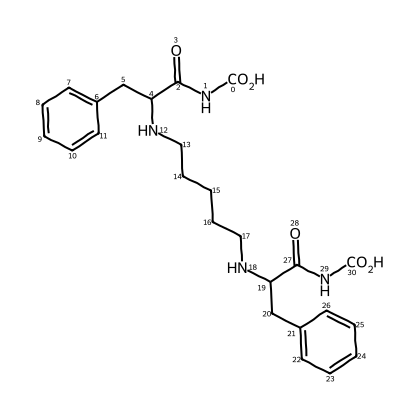 O=C(O)NC(=O)C(Cc1ccccc1)NCCCCCNC(Cc1ccccc1)C(=O)NC(=O)O